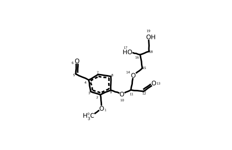 COc1cc(C=O)ccc1OC([C]=O)OCC(O)CO